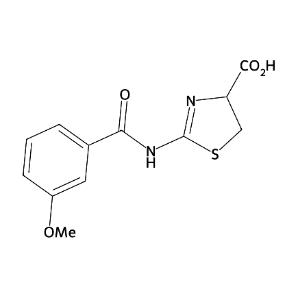 COc1cccc(C(=O)NC2=NC(C(=O)O)CS2)c1